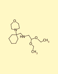 CCOC(CNCC1(N2CCOCC2)CCCCC1)OCC